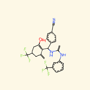 C=C(Nc1cccc(C(F)(F)F)c1)NC(C1=C(O)CC(C(F)(F)F)CC1=C)c1ccc(C#N)cc1